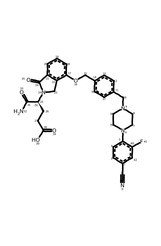 N#Cc1ccc(N2CCN(Cc3ccc(COc4cccc5c4CN([C@@H](CCC(=O)O)C(N)=O)C5=O)cc3)CC2)c(F)c1